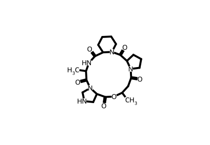 CC1CC(=O)N2CCCC2C(=O)N2CCCCC2C(=O)NC(C)C(=O)N2CNCC2C(=O)O1